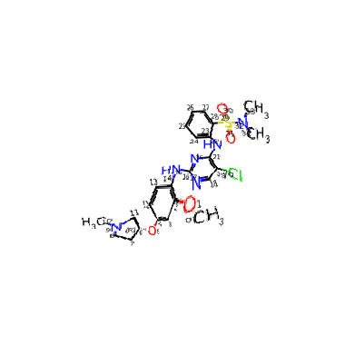 COc1cc(O[C@@H]2CCN(C)C2)ccc1Nc1ncc(Cl)c(Nc2ccccc2S(=O)(=O)N(C)C)n1